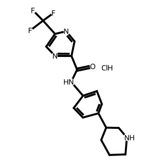 Cl.O=C(Nc1ccc(C2CCCNC2)cc1)c1cnc(C(F)(F)F)cn1